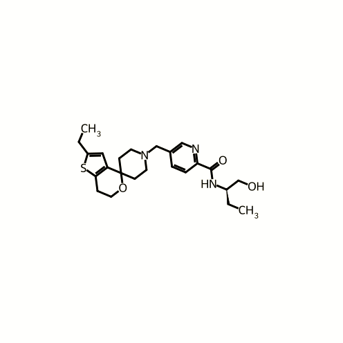 CCc1cc2c(s1)CCOC21CCN(Cc2ccc(C(=O)N[C@H](CC)CO)nc2)CC1